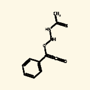 CC(=S)NNOC(=C=O)c1ccccc1